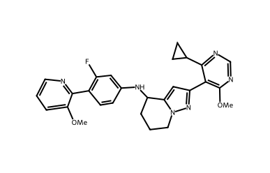 COc1cccnc1-c1ccc(NC2CCCn3nc(-c4c(OC)ncnc4C4CC4)cc32)cc1F